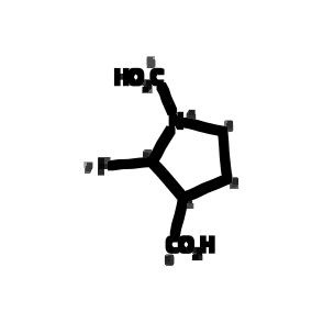 O=C(O)C1CCN(C(=O)O)C1F